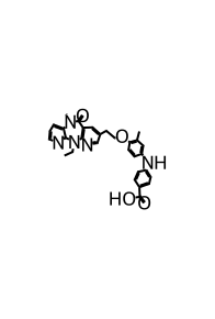 CCN1c2ncc(CCOc3ccc(Nc4ccc(C(=O)O)cc4)cc3C)cc2C(=O)N(C)c2cccnc21